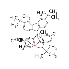 [CH2]=[Zr+2]([C]1=CC(C(C)(C)C)=CC1C(C)C)([c]1cccc(Cl)c1)([c]1cccc(Cl)c1)[CH]1c2ccc(C(C)(C)C)cc2-c2cc(C(C)(C)C)ccc21.[Cl-].[Cl-]